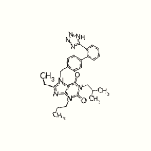 CCCn1c(=O)n(CC(C)C)c(=O)c2c1nc(CC)n2Cc1ccc(-c2ccccc2-c2nnn[nH]2)cc1